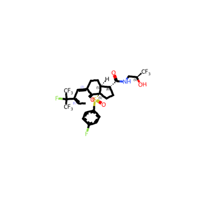 C=C1/C(=C\C(=C/C)C(F)(C(F)(F)F)C(F)(F)F)CC[C@H]2[C@H](C(=O)NC[C@H](O)C(F)(F)F)CC[C@@]12S(=O)(=O)c1ccc(F)cc1